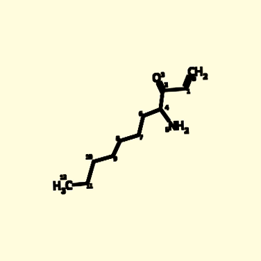 C=CC(=O)C(N)CCCCCCC